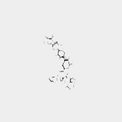 O=C(Nc1nccs1)C(c1ncn2c1CCC2)N1Cc2c(F)cc(-c3ccc(N4C[C@H]5C[C@@H]4CN5C(=O)O)cc3)cc2C1=O